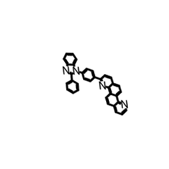 c1ccc(-c2nc3ccccc3n2-c2ccc(-c3ccc4ccc5c(ccc6cccnc65)c4n3)cc2)cc1